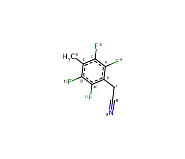 Cc1c(F)c(F)c(CC#N)c(F)c1F